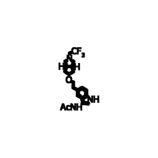 CC(=O)Nc1c[nH]c2ccc(CCO[C@@H]3C[C@@H]4CN(CC(F)(F)F)C[C@@H]4C3)cc12